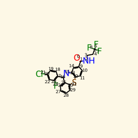 O=C(NCCC(F)(F)F)c1ccc2c(c1)N=C(c1ccc(Cl)cc1F)c1ccccc1S2